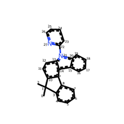 CC1(C)c2ccccc2-c2c1ccc1c2c2ccccc2n1-c1ccccn1